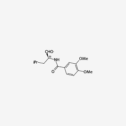 COc1ccc(C(=O)N[C@H]([C]=O)CC(C)C)cc1OC